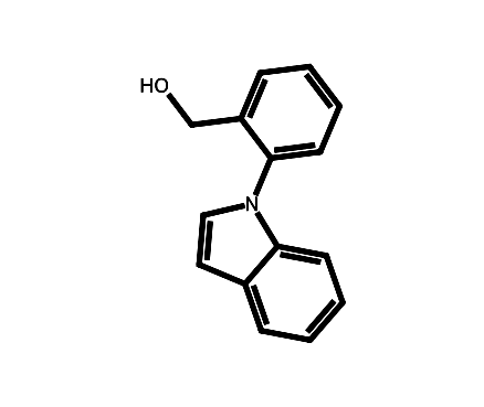 OCc1ccccc1-n1ccc2ccccc21